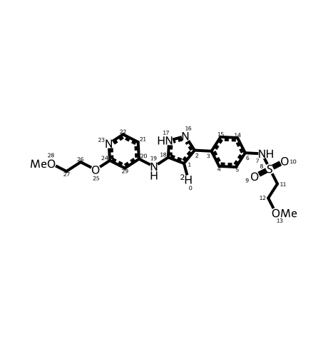 [2H]c1c(-c2ccc(NS(=O)(=O)CCOC)cc2)n[nH]c1Nc1ccnc(OCCOC)c1